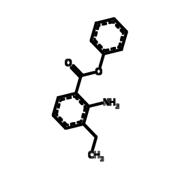 CCc1cccc(C(=O)Oc2ccccc2)c1N